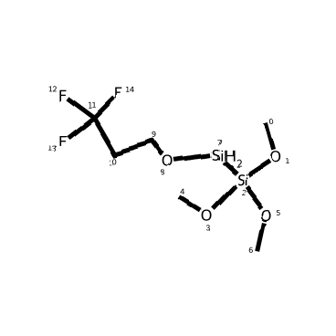 CO[Si](OC)(OC)[SiH2]OCCC(F)(F)F